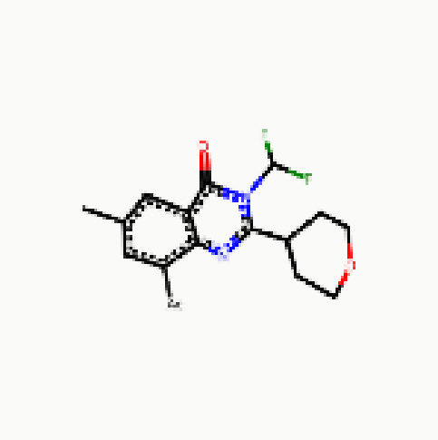 CC(=O)c1cc(C)cc2c(=O)n(C(F)F)c(C3CCOCC3)nc12